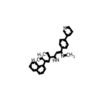 C=C/C(=C\C(=C/C)C(=N)/C=C(\N=C)c1ccc(-c2cccnc2)cc1)c1cccc2ccccc12